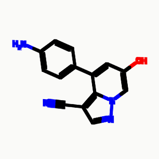 N#Cc1cnn2cc(O)cc(-c3ccc(N)cc3)c12